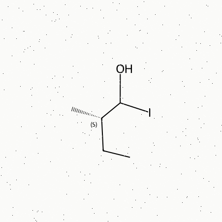 CC[C@H](C)C(O)I